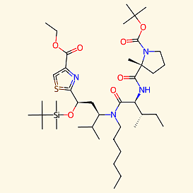 CCCCCCN(C(=O)[C@@H](NC(=O)[C@@]1(C)CCCN1C(=O)OC(C)(C)C)[C@@H](C)CC)[C@H](C[C@@H](O[Si](C)(C)C(C)(C)C)c1nc(C(=O)OCC)cs1)C(C)C